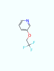 FC(F)(F)COc1cc[c]nc1